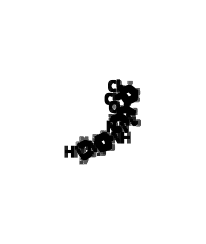 Cn1cc(-c2cccc(Cl)c2Cl)c(=O)c2cnc(Nc3ccc(N4CCNCC4)cc3)nc21